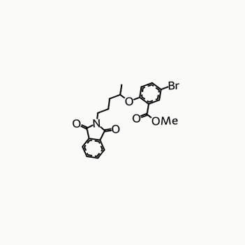 COC(=O)c1cc(Br)ccc1OC(C)CCCN1C(=O)c2ccccc2C1=O